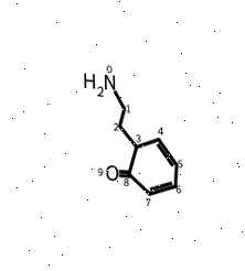 NCCC1C=CC=CC1=O